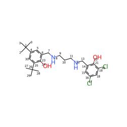 CC(C)(C)c1cc(CNCCCNCc2cc(Cl)cc(Cl)c2O)c(O)c(C(C)(C)C)c1